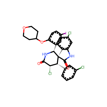 O=C1N[C@H](c2cc(I)ccc2OC2CCOCC2)[C@@]2(C(=O)Nc3cc(Cl)ccc32)[C@H](c2cccc(Cl)c2)[C@@H]1Cl